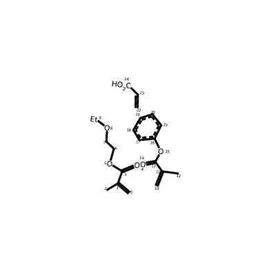 C=C(C)C(=O)OCCOCC.C=C(C)C(=O)Oc1ccccc1.C=CC(=O)O